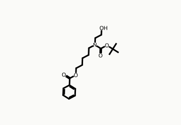 CC(C)(C)OC(=O)N(CCO)CCCCCOC(=O)c1ccccc1